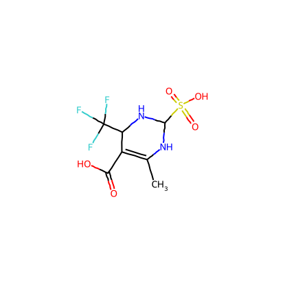 CC1=C(C(=O)O)C(C(F)(F)F)NC(S(=O)(=O)O)N1